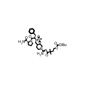 CC(C)COC(=O)OCCC(C)(C)C(=O)N=C(N)N1CCC(CN([C@H](Cc2ccccc2)C(=O)N2CCC[C@H]2C(N)=O)S(C)(=O)=O)CC1